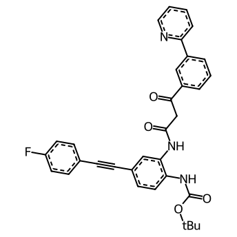 CC(C)(C)OC(=O)Nc1ccc(C#Cc2ccc(F)cc2)cc1NC(=O)CC(=O)c1cccc(-c2ccccn2)c1